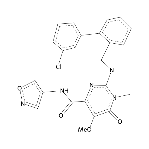 COc1c(C(=O)Nc2cnoc2)nc(N(C)Cc2ccccc2-c2cccc(Cl)c2)n(C)c1=O